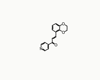 O=C(C=Cc1cccc2c1OCCO2)c1ccncc1